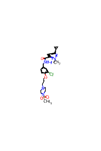 Cn1nc(C2CC2)cc1C(=O)NCc1ccc(OCCCN2CCN(S(C)(=O)=O)CC2)c(Cl)c1